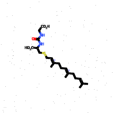 CC(C)=CCC/C(C)=C/CC/C(C)=C/CSCC(NC(=O)NCC(=O)O)C(=O)O